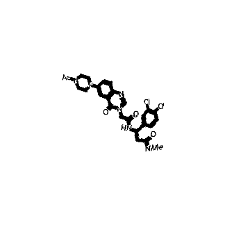 CNC(=O)CC(NC(=O)Cn1cnc2ccc(N3CCN(C(C)=O)CC3)cc2c1=O)c1ccc(Cl)c(Cl)c1